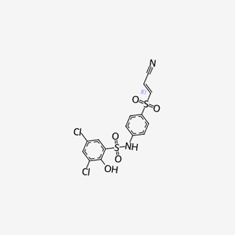 N#C/C=C/S(=O)(=O)c1ccc(NS(=O)(=O)c2cc(Cl)cc(Cl)c2O)cc1